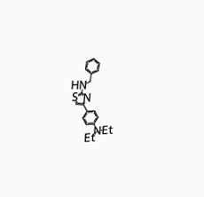 CCN(CC)c1ccc(-c2csc(NCc3ccccc3)n2)cc1